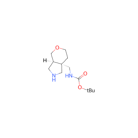 CC(C)(C)OC(=O)NC[C@@]12CCOC[C@@H]1CNC2